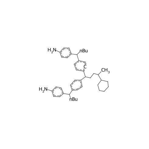 CCCCC(c1ccc(N)cc1)c1ccc(C(CCC(C)C2CCCCC2)c2ccc(C(CCCC)c3ccc(N)cc3)cc2)cc1